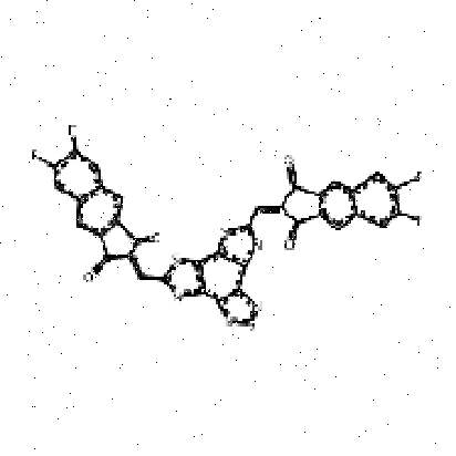 O=C1C(=Cc2nc3c4nsnc4c4nc(C=C5C(=O)c6cc7cc(F)c(F)cc7cc6C5=O)sc4c3s2)C(=O)c2cc3cc(F)c(F)cc3cc21